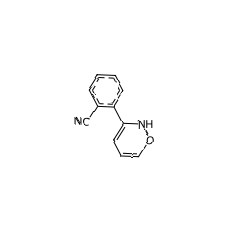 N#Cc1ccccc1C1=CC=CON1